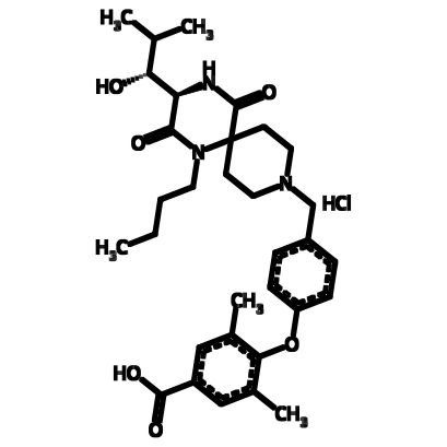 CCCCN1C(=O)[C@@H]([C@H](O)C(C)C)NC(=O)C12CCN(Cc1ccc(Oc3c(C)cc(C(=O)O)cc3C)cc1)CC2.Cl